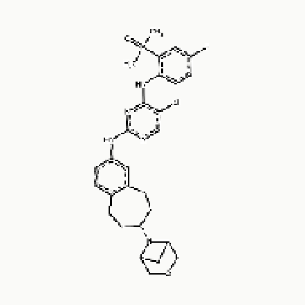 CP(C)(=O)c1cc(F)ccc1Nc1nc(Nc2ccc3c(c2)CC[C@H](N2C4COCC2C4)CC3)ncc1Cl